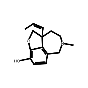 C/C=C\[C@@]12CCN(C)Cc3ccc(O)c(c31)OC2